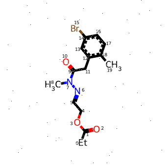 CCC(=O)OCC=NN(C)C(=O)Cc1cc(Br)ccc1C